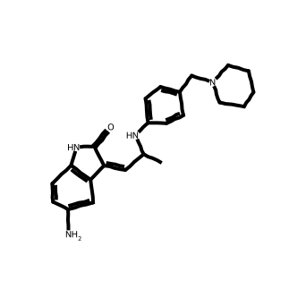 CC(C=C1C(=O)Nc2ccc(N)cc21)Nc1ccc(CN2CCCCC2)cc1